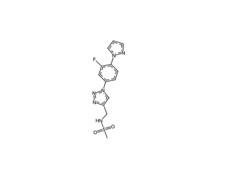 CS(=O)(=O)NCc1cn(-c2ccc(-n3cccn3)c(F)c2)nn1